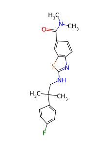 CN(C)C(=O)c1ccc2nc(NCC(C)(C)c3ccc(F)cc3)sc2c1